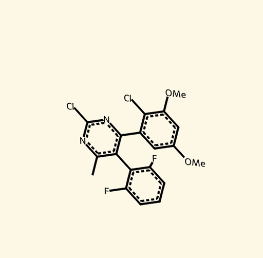 COc1cc(OC)c(Cl)c(-c2nc(Cl)nc(C)c2-c2c(F)cccc2F)c1